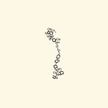 Cc1ccc(NS(=O)(=O)c2ccc(NCCOCCOCCN3CCN(c4ccc(-c5ccc6c(c5)C(=O)N(C(C(=O)Nc5nccs5)c5ccccc5)C6)cn4)CC3)c(C#N)c2)c2[nH]cc(C#N)c12